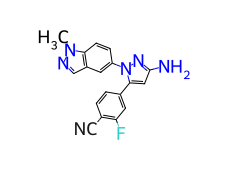 Cn1ncc2cc(-n3nc(N)cc3-c3ccc(C#N)c(F)c3)ccc21